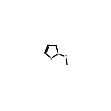 CON1CC=[C]S1